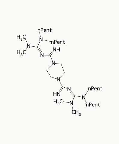 CCCCCN(CCCCC)C(=NC(=N)N1CCN(C(=N)N=C(N(C)C)N(CCCCC)CCCCC)CC1)N(C)C